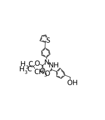 CC(C)(C)OC(=O)N(NC(=O)c1ccc(CO)cc1)c1ccc(-c2cccs2)cc1